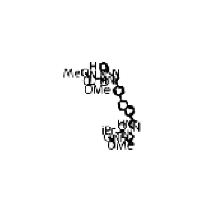 COCC[C@H](NC(=O)OC)C(=O)N1C2CCC(C2)[C@H]1c1ncc(-c2ccc(-c3ccc4cc(-c5cnc([C@@H]6CC7(CC7)CN6C(=O)[C@@H](NC(=O)OC)C(C)C)[nH]5)ccc4c3)cc2)[nH]1